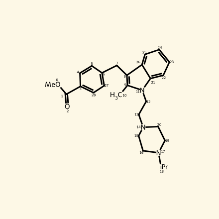 COC(=O)c1ccc(Cc2c(C)n(CCN3CCN(C(C)C)CC3)c3ccccc23)cc1